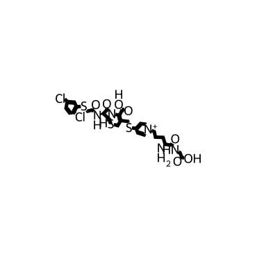 N[C@@H](CCC[n+]1ccc(SCC2=C(C(=O)O)N3C(=O)[C@H](NC(=O)CSc4cc(Cl)ccc4Cl)[C@H]3SC2)cc1)C(=O)NCC(=O)O